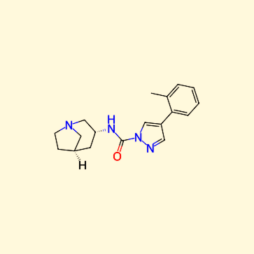 Cc1ccccc1-c1cnn(C(=O)N[C@@H]2C[C@H]3CCN(C3)C2)c1